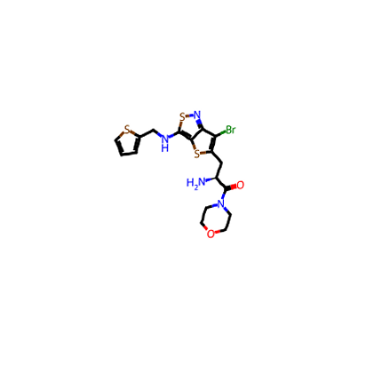 N[C@@H](Cc1sc2c(NCc3cccs3)snc2c1Br)C(=O)N1CCOCC1